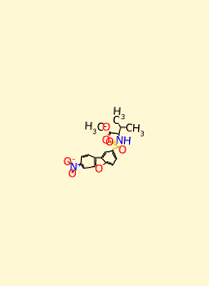 COC(=O)C(NS(=O)(=O)c1ccc2oc3cc([N+](=O)[O-])ccc3c2c1)C(C)C